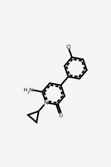 Nc1cc(-c2cccc(Cl)c2)cc(=O)n1C1CC1